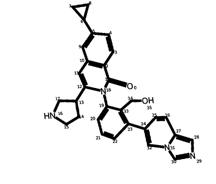 O=c1c2ccc(C3CC3)cc2cc(C2CCNC2)n1-c1cccc(-c2ccc3cncn3c2)c1CO